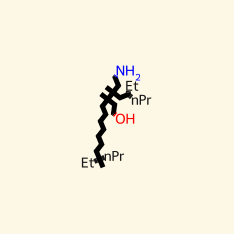 CCCC(CC)CC(C)(CCN)C(C)(CCO)CCCCCCCC(C)(CC)CCC